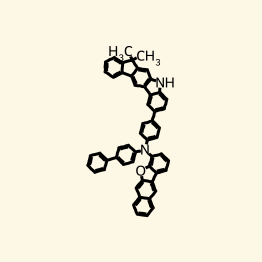 CC1(C)c2ccccc2-c2cc3c(cc21)[nH]c1ccc(-c2ccc(N(c4ccc(-c5ccccc5)cc4)c4cccc5c4oc4cc6ccccc6cc45)cc2)cc13